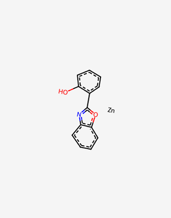 Oc1ccccc1-c1nc2ccccc2o1.[Zn]